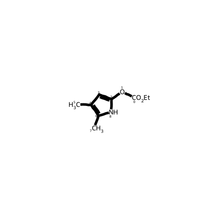 CCOC(=O)Oc1cc(C)c(C)[nH]1